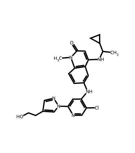 CC(Nc1cc(=O)n(C)c2ccc(Nc3cc(-n4cc(CCO)cn4)ncc3Cl)cc12)C1CC1